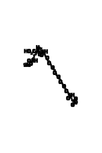 CC(C)C(NC(=O)CCOCCOCCOCCOCCOCCOCCOCCOCCNC(=O)CCN1C(=O)C=CC1=O)C(=O)N[C@@H](CCCCNC(=O)OC(C)(C)C)C(=O)O